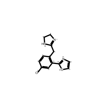 Clc1ccc(CC2=NCCN2)c(-c2ncco2)c1